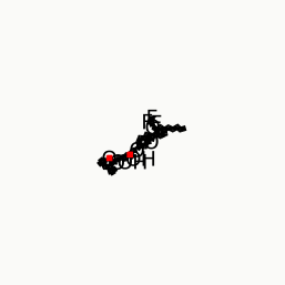 CCCCCc1ccc(-c2cc3ccc(OCC(O)CC(O)COC(=O)C(CC(C)(C)C)C(C)(C)C)cc3o2)c(OC(F)(F)F)c1